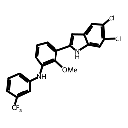 COc1c(Nc2cccc(C(F)(F)F)c2)cccc1-c1cc2cc(Cl)c(Cl)cc2[nH]1